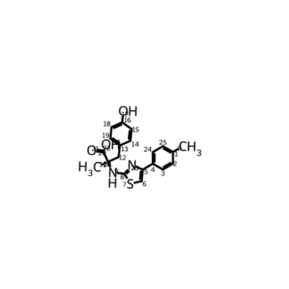 Cc1ccc(-c2csc(N[C@@](C)(Cc3ccc(O)cc3)C(=O)O)n2)cc1